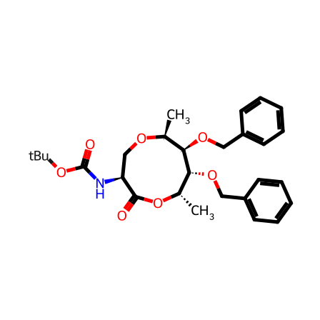 C[C@@H]1OC[C@H](NC(=O)OC(C)(C)C)C(=O)O[C@@H](C)[C@@H](OCc2ccccc2)[C@@H]1OCc1ccccc1